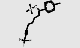 Cc1ccc(/C(=C/CCCC#CC(F)(F)F)O[Si](C)(C)C)cc1